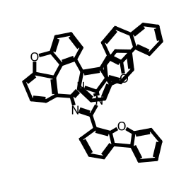 C1=CCCC(c2nc(-c3cccc4c3oc3ccccc34)nc(-c3cccc4oc5cccc(-c6cccc7oc8c9ccccc9ccc8c67)c5c34)n2)=C1